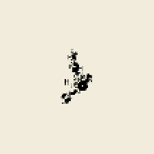 COc1c(OCCCN2CCOCC2)ccc2c1N=C(NC(=O)c1ccc(OCC(F)(F)F)nc1)N1CCN=C21